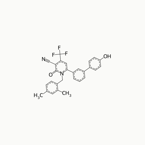 Cc1ccc(Cn2c(-c3cccc(-c4ccc(O)cc4)c3)cc(C(F)(F)F)c(C#N)c2=O)c(C)c1